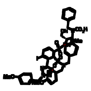 COc1ccc(CN(Cc2ccc(OC)cc2)S(=O)(=O)c2c(S(=O)(=O)N[C@H](CO)CN(Cc3ccccc3)C(=O)O)ccc(I)c2-c2nnn(Cc3ccc(OC)cc3)n2)cc1